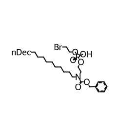 CCCCCCCCCCCCCCCCCCCCN(CCOP(=O)(O)OCCBr)C(=O)OCc1ccccc1